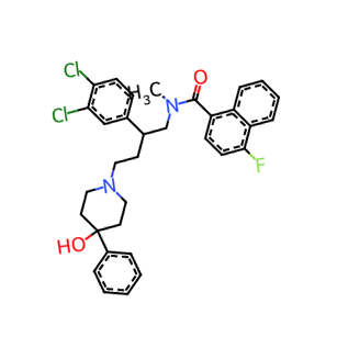 CN(CC(CCN1CCC(O)(c2ccccc2)CC1)c1ccc(Cl)c(Cl)c1)C(=O)c1ccc(F)c2ccccc12